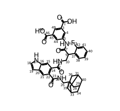 O=C(O)c1cc(NC(=O)C(CNC(=O)c2cc3[nH]ccc3cc2C(=O)NCC23CC4CC(CC(C4)C2)C3)c2ccccc2F)cc(C(=O)O)c1